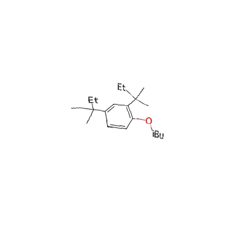 CCC(C)Oc1ccc(C(C)(C)CC)cc1C(C)(C)CC